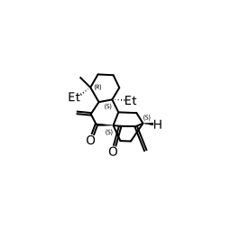 C=C1C(=O)[C@@]23CC[C@@H](CC2[C@]2(CC)CCC[C@@](C)(CC)C12)C(=C)C3=O